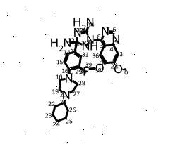 COc1cc2ncnc(N3NC(N)(c4ccc(N5CCN(C6CCCCC6)CC5)c(F)c4)N=C3N)c2cc1OC